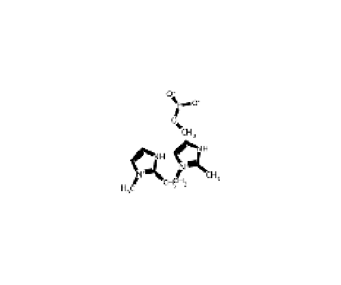 COP([O-])[O-].Cc1[nH]cc[n+]1C.Cc1[nH]cc[n+]1C